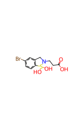 O=C(O)CCN1Cc2cc(Br)ccc2S1(O)O